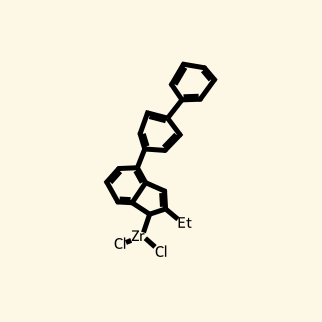 CCC1=Cc2c(-c3ccc(-c4ccccc4)cc3)cccc2[CH]1[Zr]([Cl])[Cl]